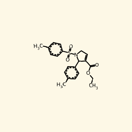 CCOC(=O)C1=CCN(S(=O)(=O)c2ccc(C)cc2)C1c1ccc(C)cc1